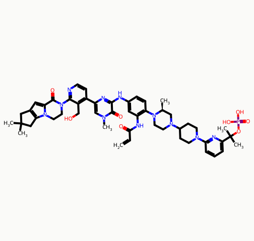 C=CC(=O)Nc1cc(Nc2nc(-c3ccnc(N4CCn5c(cc6c5CC(C)(C)C6)C4=O)c3CO)cn(C)c2=O)ccc1N1CCN(C2CCN(c3cccc(C(C)(C)OP(=O)(O)O)n3)CC2)C[C@@H]1C